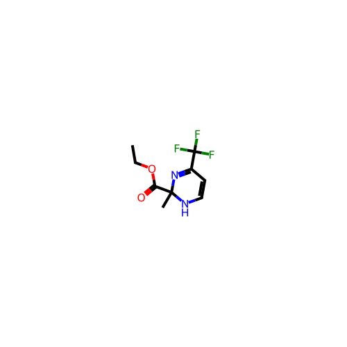 CCOC(=O)C1(C)N=C(C(F)(F)F)C=CN1